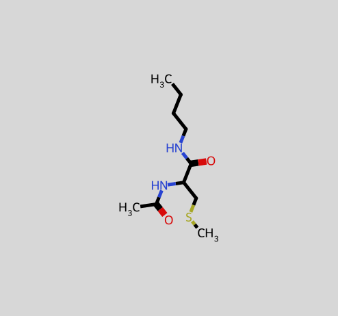 CCCCNC(=O)C(CSC)NC(C)=O